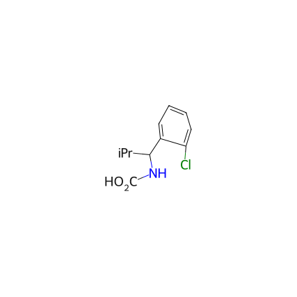 CC(C)C(NC(=O)O)c1ccccc1Cl